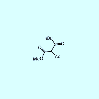 CCCCC(=O)C(C(C)=O)C(=O)OC